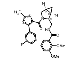 COc1cccc(C(=O)NC[C@@H]2[C@@H]3C[C@@H]3CN2C(=O)c2nc(C)sc2-c2cccc(F)c2)c1OC